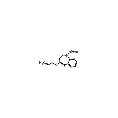 C=CCSC1=Nc2ccccc2N(CCCCC)CC1